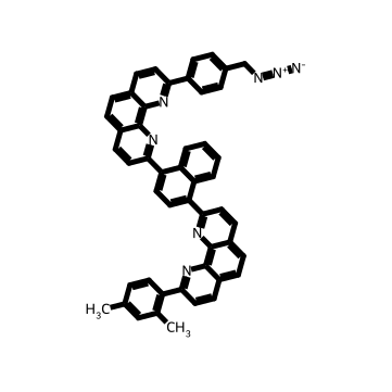 Cc1ccc(-c2ccc3ccc4ccc(-c5ccc(-c6ccc7ccc8ccc(-c9ccc(CN=[N+]=[N-])cc9)nc8c7n6)c6ccccc56)nc4c3n2)c(C)c1